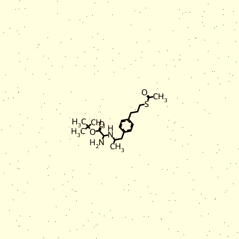 CC(=O)SCCCc1ccc(CC(C)NC(N)C(=O)OC(C)(C)C)cc1